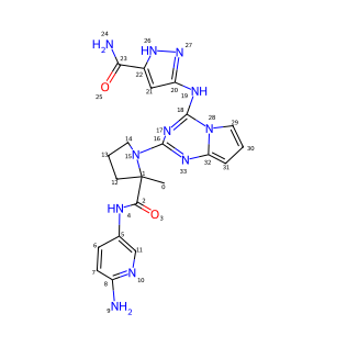 CC1(C(=O)Nc2ccc(N)nc2)CCCN1c1nc(Nc2cc(C(N)=O)[nH]n2)n2cccc2n1